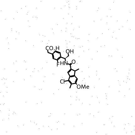 COc1cc2c(c(Cl)c1C)C=C(C(=O)N[C@H](CO)c1ccc(CC(=O)O)cc1F)C2C